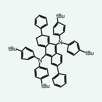 CC(C)(C)c1ccc(N(c2ccc(C(C)(C)C)cc2)c2c3c(c(N(c4ccc(C(C)(C)C)cc4)c4ccc(C(C)(C)C)cc4)c4cc(-c5ccccc5)ccc24)=CCC(c2ccccc2)C=3)cc1